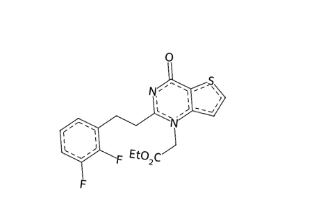 CCOC(=O)Cn1c(CCc2cccc(F)c2F)nc(=O)c2sccc21